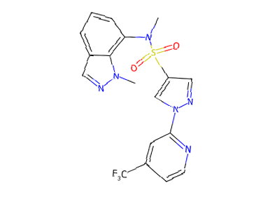 CN(c1cccc2cnn(C)c12)S(=O)(=O)c1cnn(-c2cc(C(F)(F)F)ccn2)c1